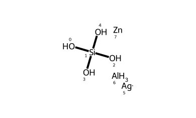 O[Si](O)(O)O.[Ag].[AlH3].[Zn]